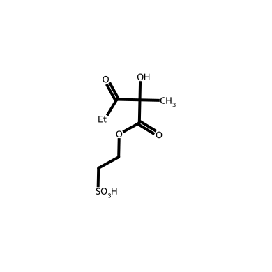 CCC(=O)C(C)(O)C(=O)OCCS(=O)(=O)O